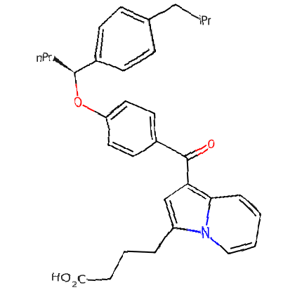 CCC[C@H](Oc1ccc(C(=O)c2cc(CCCC(=O)O)n3ccccc23)cc1)c1ccc(CC(C)C)cc1